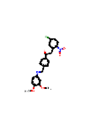 COc1ccc(NCc2ccc(C(=O)Cc3cc(Br)ccc3[N+](=O)[O-])cc2)cc1OC